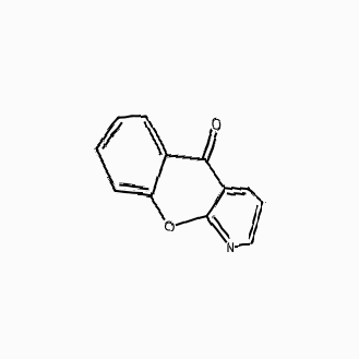 O=c1c2ccccc2oc2nc[c]cc12